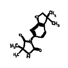 CC1(C)NC(=O)N(c2ccc3c(c2)OCC3(C)C)C1=O